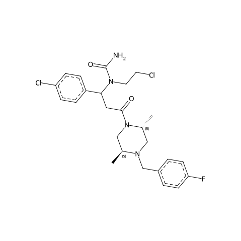 C[C@@H]1CN(Cc2ccc(F)cc2)[C@@H](C)CN1C(=O)CC(c1ccc(Cl)cc1)N(CCCl)C(N)=O